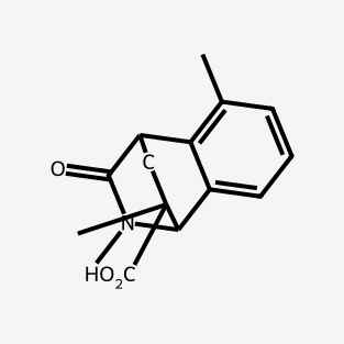 Cc1cccc2c1C1CC(C)(C(=O)O)C2N(C)C1=O